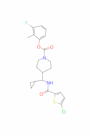 Cc1c(F)cccc1OC(=O)N1CCC(C(NC(=O)c2ccc(Cl)s2)C2CC2)CC1